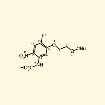 CC(C)(C)OCCOc1cc(NC(=O)O)c([N+](=O)[O-])cc1I